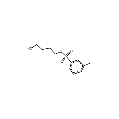 Cc1cccc(S(=O)(=O)OCCCCO)c1